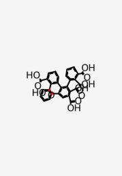 O=C(O)c1cccc(-c2c(-c3ccccc3)cc(C(=O)O)c(C(=O)O)c2-c2cccc(C(=O)O)c2C(=O)O)c1C(=O)O